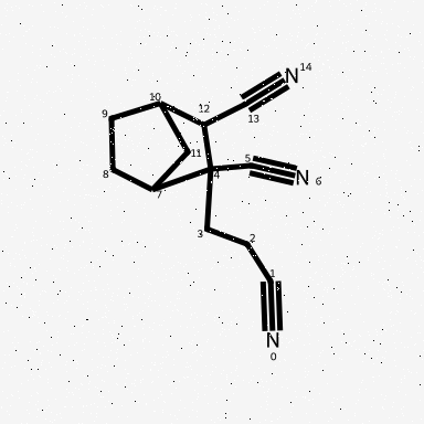 N#CCCC1(C#N)C2CCC(C2)C1C#N